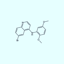 COc1ccc(OC)c(Nc2ccnc3ccc(Br)cc23)c1